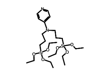 CCO[Si](CCCN(CCC[Si](OCC)(OCC)OCC)c1ccncc1)(OCC)OCC